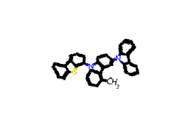 CC1CC=Cc2c1c1cc(-n3c4ccccc4c4ccccc43)ccc1n2-c1cccc2c1sc1ccccc12